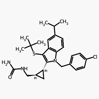 CC(C)c1ccc2c(c1)c(SC(C)(C)C)c([C@@H]1C[C@H]1CNC(N)=O)n2Cc1ccc(Cl)cc1